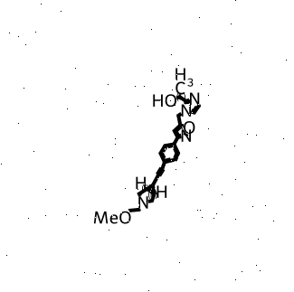 COCCN1C[C@@H]2C(C#Cc3ccc(-c4cc(Cn5ccnc5[C@H](C)O)on4)cc3)[C@@H]2C1